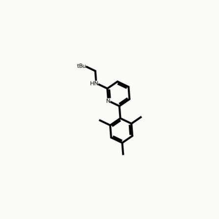 Cc1cc(C)c(-c2cccc(NCC(C)(C)C)n2)c(C)c1